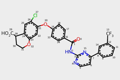 O=C(Nc1nccc(-c2cccc(C(F)(F)F)c2)n1)c1ccc(Oc2cc3c(cc2Cl)C(C(=O)O)CCO3)cc1